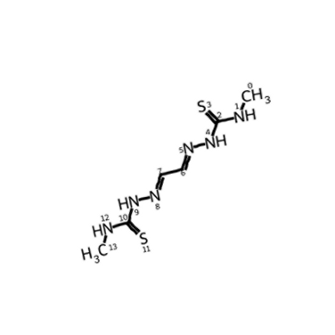 CNC(=S)NN=CC=NNC(=S)NC